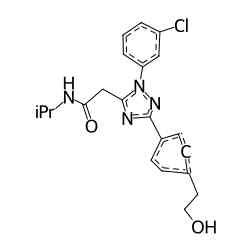 CC(C)NC(=O)Cc1nc(-c2ccc(CCO)cc2)nn1-c1cccc(Cl)c1